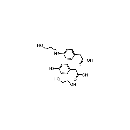 O=C(O)Cc1ccc(S)cc1.O=C(O)Cc1ccc(S)cc1.OCCO.OCCO